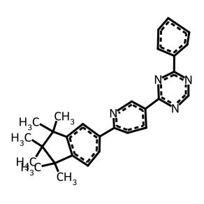 CC1(C)c2ccc(-c3ccc(-c4ncnc(-c5ccccc5)n4)cn3)cc2C(C)(C)C1(C)C